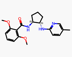 COc1cccc(OC)c1C(=O)N[C@H]1CCC[C@@H]1Nc1ccc(C)cn1